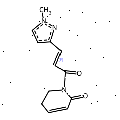 Cn1ccc(/C=C/C(=O)N2CCC=CC2=O)n1